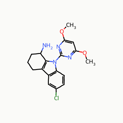 COc1cc(OC)nc(-n2c3c(c4cc(Cl)ccc42)CCCC3N)n1